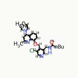 C=CN(/C=C\C)c1cc(C)nc2c(OCc3c(Cl)cncc3CNC(=O)CCCC)cccc12